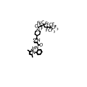 Cc1cc(C)n(-c2ccccc2NC(=O)c2csc(C3CCN(C(=O)C(F)(F)C(F)(CC(F)(F)C(C(F)(F)F)(C(F)(F)F)C(F)(F)F)C(F)(F)F)CC3)n2)n1